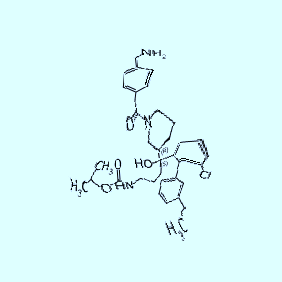 CCc1cccc(-c2c(Cl)cccc2[C@](O)(CCCNC(=O)OC(C)C)[C@@H]2CCCN(C(=O)c3ccc(CN)cc3)C2)c1